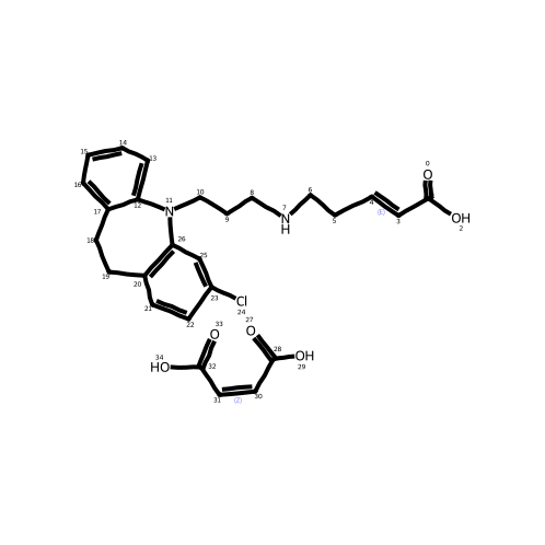 O=C(O)/C=C/CCNCCCN1c2ccccc2CCc2ccc(Cl)cc21.O=C(O)/C=C\C(=O)O